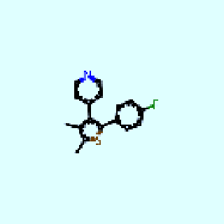 Cc1sc(-c2ccc(F)cc2)c(-c2ccncc2)c1C